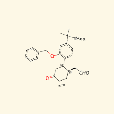 C=C.CCCCCCC(C)(C)c1ccc([C@H]2CC(=O)CC[C@@H]2CC=O)c(OCc2ccccc2)c1